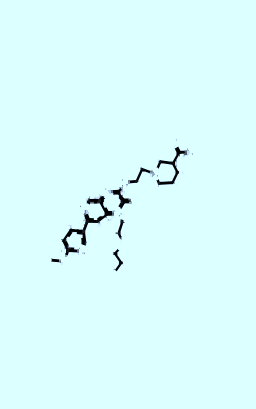 CCCOCCn1c(=O)c(NCCN2CCCC(C(N)=O)C2)nc2cnc(-c3ccc(OC)nc3)cc21